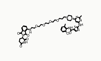 Cc1nc(Nc2ncc(C(=O)Nc3c(C)cccc3Cl)s2)cc(N2CCN(CCCOCCOCCOCCOCCNc3cccc4c3C(=O)N(C3CCC(=O)NC3=O)C4=O)CC2)n1